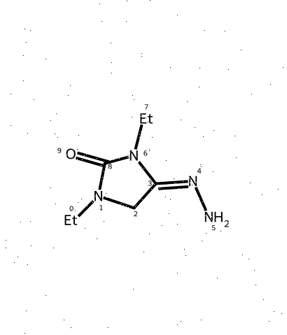 CCN1CC(=NN)N(CC)C1=O